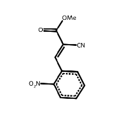 COC(=O)/C(C#N)=C/c1ccccc1[N+](=O)[O-]